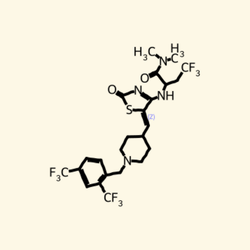 CN(C)C(=O)C(CC(F)(F)F)NC1=NC(=O)S/C1=C\C1CCN(Cc2ccc(C(F)(F)F)cc2C(F)(F)F)CC1